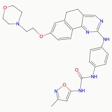 Cc1cc(NC(=O)Nc2ccc(Nc3ncc4c(n3)-c3ccc(OCCN5CCOCC5)cc3CC4)cc2)on1